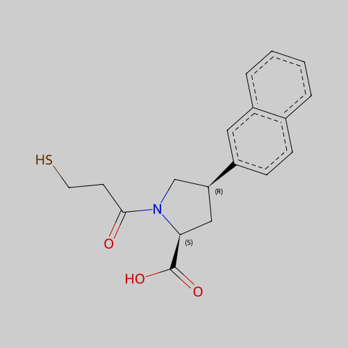 O=C(O)[C@@H]1C[C@H](c2ccc3ccccc3c2)CN1C(=O)CCS